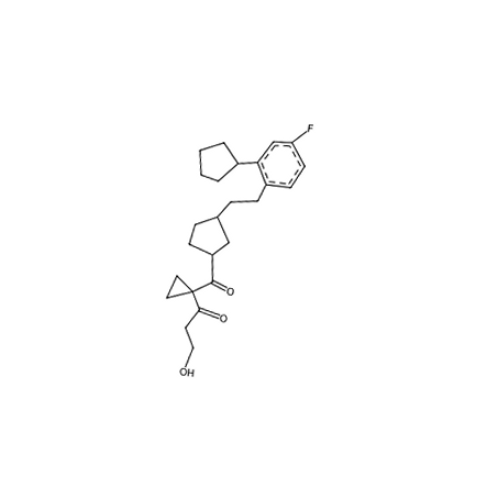 O=C(CCO)C1(C(=O)C2CCC(CCc3ccc(F)cc3C3CCCC3)C2)CC1